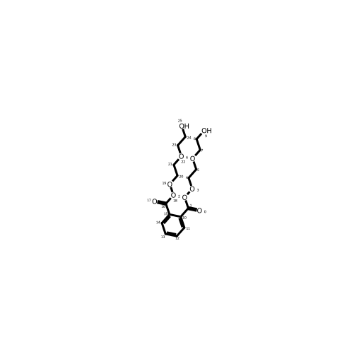 O=C(OOCCOCCO)c1ccccc1C(=O)OOCCOCCO